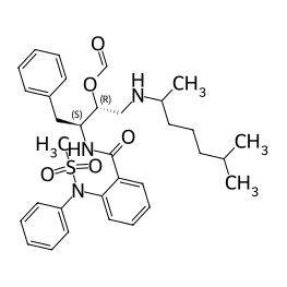 CC(C)CCCC(C)NC[C@@H](OC=O)[C@H](Cc1ccccc1)NC(=O)c1ccccc1N(c1ccccc1)S(C)(=O)=O